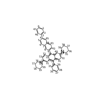 c1ccc(-c2ccc3cc(-c4c5ccc(N6CCCCC6)cc5c(-c5ccccc5)c5ccc(N6CCCCC6)cc45)ccc3c2)cc1